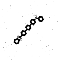 c1ccc(Nc2ccc(-c3ccc(-c4ccc(-c5nc6ccccc6o5)cc4)cc3)cc2)cc1